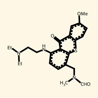 CCN(CC)CCNc1ccc(CN(C)C=O)c2sc3ccc(OC)cc3c(=O)c12